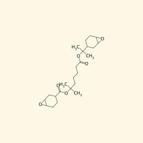 CC(C)(CCCCC(=O)OC(C)(C)C1CCC2OC2C1)OC(=O)C1CCC2OC2C1